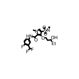 C=NS(=O)(=O)c1cn(C)c(C(=O)Nc2ccc(F)c(C(F)F)c2)c1OCCC(O)CC